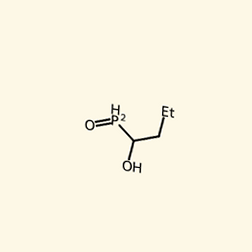 CCCC(O)[PH2]=O